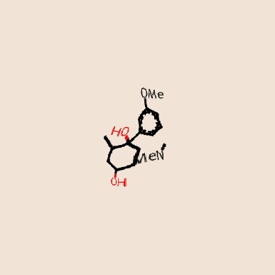 CNC.COc1cccc(C2(O)CCC(O)CC2C)c1